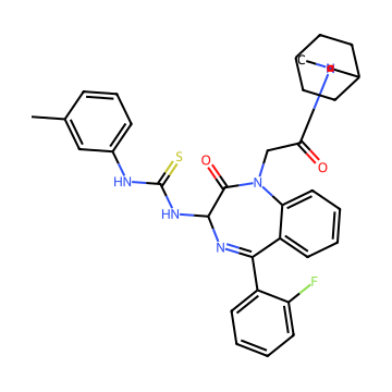 Cc1cccc(NC(=S)NC2N=C(c3ccccc3F)c3ccccc3N(CC(=O)N3CC4CCC(CC4)C3)C2=O)c1